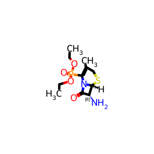 CCOP(=O)(OCC)C1=C(C)CS[C@@H]2[C@H](N)C(=O)N12